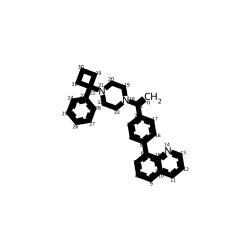 C=C(c1ccc(-c2cccc3cccnc23)cc1)N1CCN(C2(c3ccccc3)CCC2)CC1